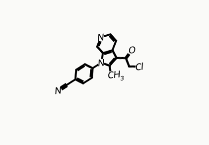 Cc1c(C(=O)CCl)c2ccncc2n1-c1ccc(C#N)cc1